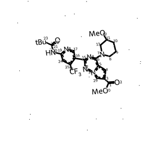 COC(=O)c1cc2c(N3CCCC(OC)C3)nc(-c3cnc(NC(=O)C(C)(C)C)cc3C(F)(F)F)nn2c1